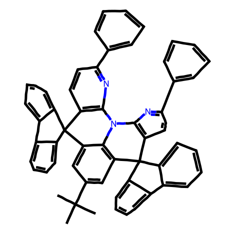 CC(C)(C)c1cc2c3c(c1)C1(c4ccccc4-c4ccccc41)c1ccc(-c4ccccc4)nc1N3c1nc(-c3ccccc3)ccc1C21c2ccccc2-c2ccccc21